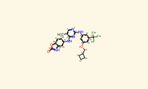 Cc1cnc(Nc2cc(OCC3CCC3)cc(C(F)(F)F)c2)nc1Nc1ccc2oc(=O)[nH]c2c1